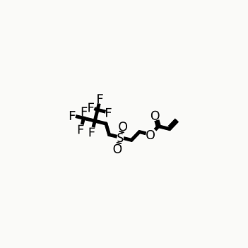 C=CC(=O)OCCS(=O)(=O)CCC(F)(C(F)(F)F)C(F)(F)F